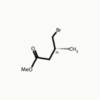 COC(=O)C[C@@H](C)CBr